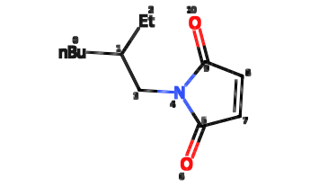 CCCCC(CC)CN1C(=O)C=CC1=O